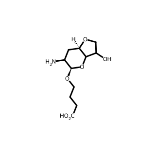 NC1C[C@H]2OCC(O)C2O[C@H]1OCCCC(=O)O